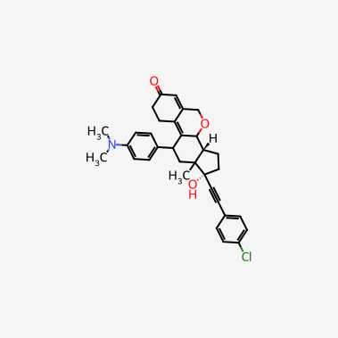 CN(C)c1ccc(C2CC3(C)[C@@H](CC[C@@]3(O)C#Cc3ccc(Cl)cc3)C3OCC4=CC(=O)CCC4=C23)cc1